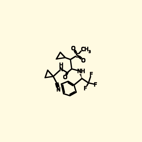 CS(=O)(=O)C(C1CC1)C(N[C@@H](c1ccccc1)C(F)(F)F)C(=O)NC1(C#N)CC1